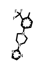 Cc1ccc(N2CCN(c3nccs3)CC2)cc1C(F)(F)F